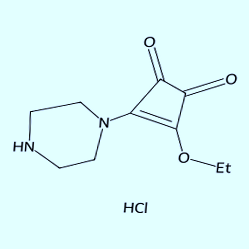 CCOc1c(N2CCNCC2)c(=O)c1=O.Cl